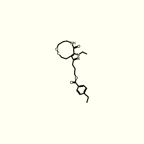 CCc1ccc(C(=O)OCCCc2nn(CC)c3c2CCCOCCCNC3=O)cc1